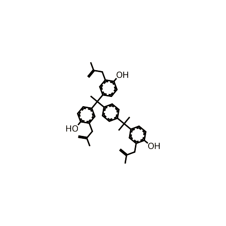 C=C(C)Cc1cc(C(C)(C)c2ccc(C(C)(c3ccc(O)c(CC(=C)C)c3)c3ccc(O)c(CC(=C)C)c3)cc2)ccc1O